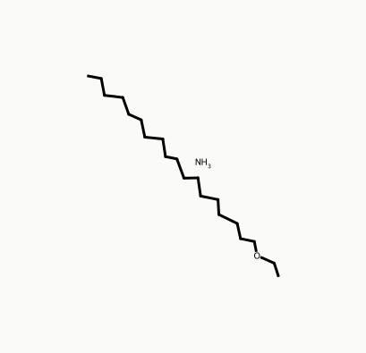 CCCCCCCCCCCCCCCCCCOCC.N